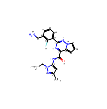 CCOC(=O)Cn1nc(C)cc1NC(=O)c1nc(-c2cccc(CN)c2F)nn2cccc12